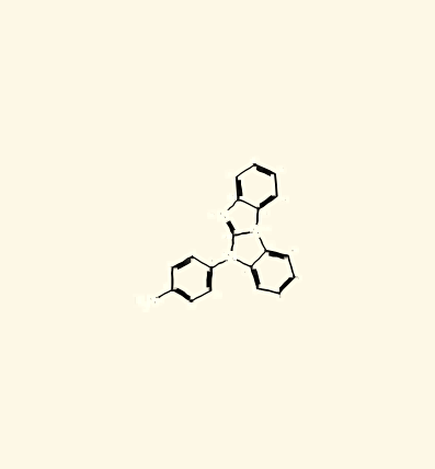 Nc1ccc(-n2c3ccccc3n3c4ccccc4nc23)cc1